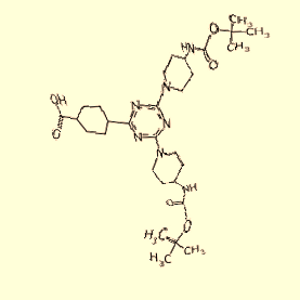 CC(C)(C)OC(=O)NC1CCN(c2nc(C3CCC(C(=O)O)CC3)nc(N3CCC(NC(=O)OC(C)(C)C)CC3)n2)CC1